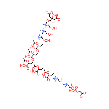 CCC(OC(C)=O)C(=O)O.CCC(OC(C)=O)C(=O)O.CCC(OC(C)=O)C(=O)O.CCC(OC(C)=O)C(=O)O.CCC(OC(C)=O)C(=O)[O-].C[N+](C)(C)CCO.C[N+](C)(C)CCO.C[N+](C)(C)CCO.C[N+](C)(C)CCO.C[N+](C)(C)CCO.O=C([O-])CC(O)(CC(=O)[O-])C(=O)[O-].O=C([O-])CCC(=O)O